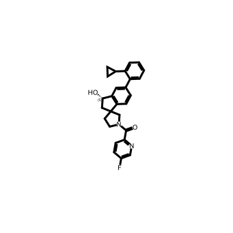 O=C(c1ccc(F)cn1)N1CCC2(C[C@H](O)c3cc(-c4ccccc4C4CC4)ccc32)C1